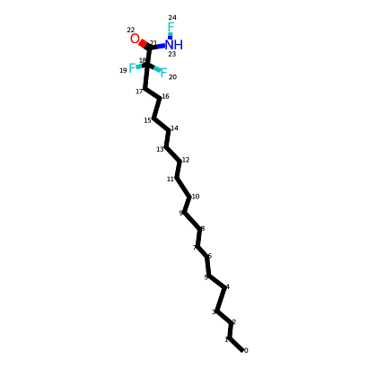 CCCCCCCCCCCCCCCCCCC(F)(F)C(=O)NF